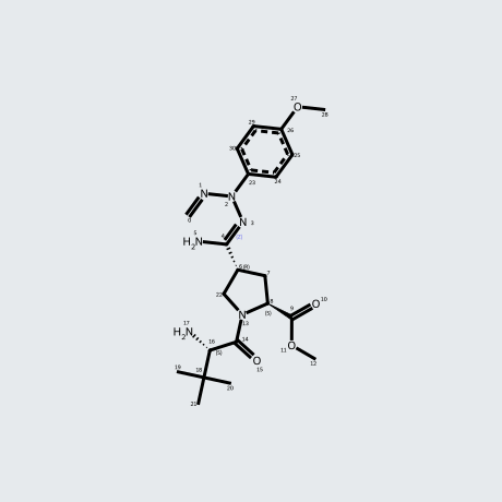 C=NN(/N=C(\N)[C@@H]1C[C@@H](C(=O)OC)N(C(=O)[C@@H](N)C(C)(C)C)C1)c1ccc(OC)cc1